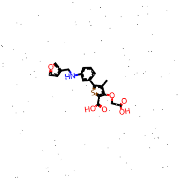 Cc1c(-c2cccc(NCc3ccoc3)c2)sc(C(=O)O)c1OCC(=O)O